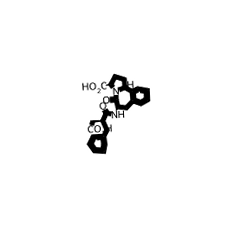 O=C(O)C[C@H](Cc1ccccc1)C(=O)N[C@H]1Cc2ccccc2[C@H]2CC[C@@H](C(=O)O)N2C1=O